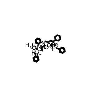 CCCC(=O)N(CC(O)CC(C1CCCCC1)[PH](=O)OCc1ccccc1)c1cccc(C)c1NC(=O)OCc1ccccc1